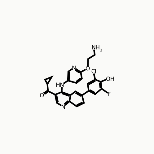 NCCOc1ccc(Nc2c(C(=O)C3CC3)cnc3ccc(-c4cc(F)c(O)c(Cl)c4)cc23)cn1